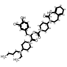 CCCCN(CC)C1CCN(C(=O)[C@@H](Cc2ccc(O)c(Cl)c2)OC(=O)N2CCC(N3CCC4=CCCC=C4NC3=O)CC2)CC1